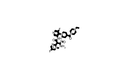 CCN1CCN(C(=O)C2CCN(c3c(F)cncc3NC(=O)C(C(N)N=O)C3NCC(F)CN3C)CC2)CC1